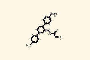 C=CC(=O)OCc1cc(-c2ccc(C)cc2)ccc1-c1ccc(CO)cc1